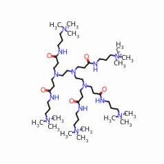 C[N+](C)(C)CCCNC(=O)CCN(CCC(=O)NCCC[N+](C)(C)C)CCN(CCC(=O)NCCC[N+](C)(C)C)CCN(CCC(=O)NCCC[N+](C)(C)C)CCC(=O)NCCC[N+](C)(C)C